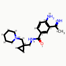 CC(=N)c1cc(C(=O)NCC2(CN3CCCCC3)CC2)ccc1N